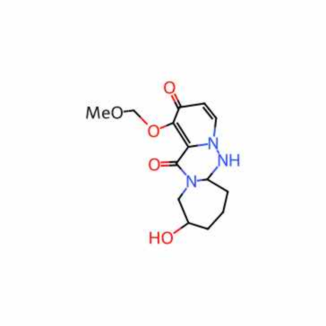 COCOc1c2n(ccc1=O)NC1CCCC(O)CN1C2=O